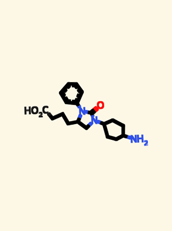 NC1CCC(N2CC(CCCC(=O)O)N(c3ccccc3)C2=O)CC1